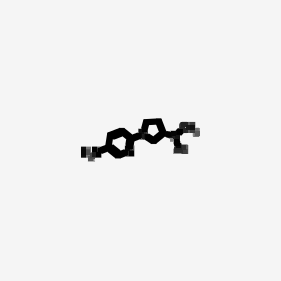 CC(=O)N(C)[C@@H]1CCN(c2ccc(N)cn2)C1